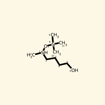 C[SiH](CCCCO)O[Si](C)(C)C